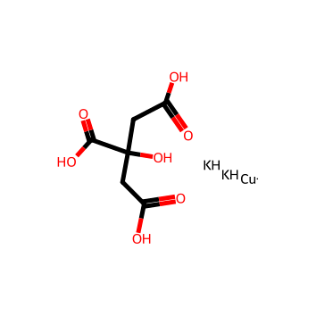 O=C(O)CC(O)(CC(=O)O)C(=O)O.[Cu].[KH].[KH]